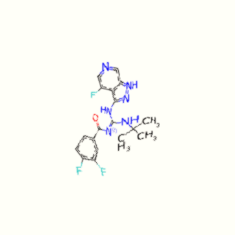 CC(C)(C)N/C(=N/C(=O)c1ccc(F)c(F)c1)Nc1n[nH]c2cncc(F)c12